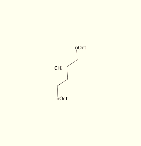 CCCCCCCCCCCCCCCCCCCC.[CH]